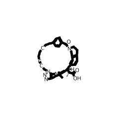 Cc1c2cnc3c1nnn3CCCCCCCc1ccc(cc1)C(=O)N1CCc3ccc(cc3C1)[C@@H]2[C@@H](C)C(=O)O